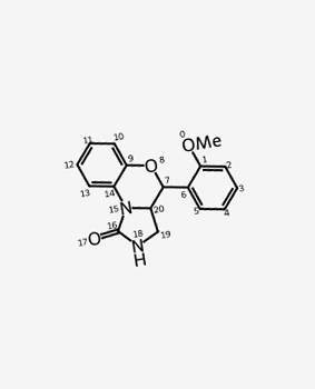 COc1ccccc1C1Oc2ccccc2N2C(=O)NCC12